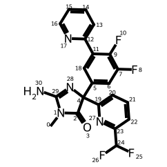 CN1C(=O)C(c2cc(F)c(F)c(-c3ccccn3)c2)(c2cccc(C(F)F)n2)N=C1N